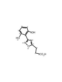 O=C(O)CCc1nc(-c2c(O)cccc2O)no1